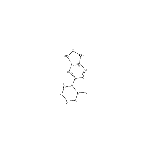 CC1COCOC1c1ccc2c(c1)OCO2